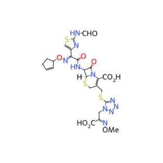 CON=C(Cn1nnnc1SCC1=C(C(=O)O)N2C(=O)C(NC(=O)C(=NOC3C=CCC3)c3csc(NC=O)n3)[C@@H]2SC1)C(=O)O